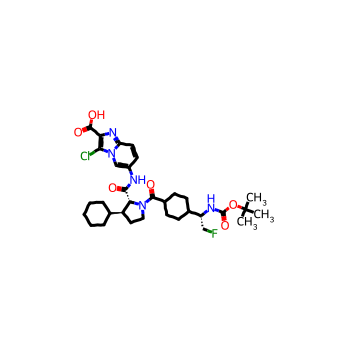 CC(C)(C)OC(=O)N[C@H](CF)C1CCC(C(=O)N2CC[C@@H](C3CCCCC3)[C@@H]2C(=O)Nc2ccc3nc(C(=O)O)c(Cl)n3c2)CC1